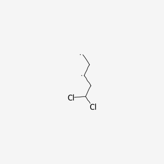 [CH2]C[CH]CC(Cl)Cl